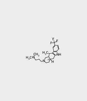 CC1c2c([nH]c3ccc(C(F)(F)F)cc23)C[C@@H]2CCN(CCCN(C)C)CC12